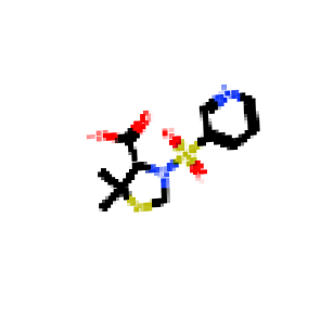 CC1(C)SCN(S(=O)(=O)c2cccnc2)[C@@H]1C(=O)O